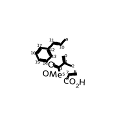 C=C(C)C(=O)OC.C=CC(=O)O.CC=Cc1ccccc1